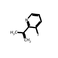 C=C(C)c1ncccc1I